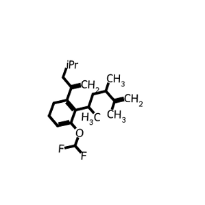 C=C(CC(C)C)C1=C(C(C)CC(C)C(=C)C)C(OC(F)F)=CCC1